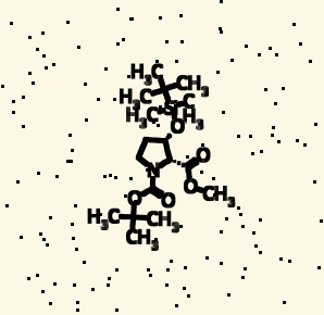 COC(=O)[C@H]1[C@@H](O[Si](C)(C)C(C)(C)C)CCN1C(=O)OC(C)(C)C